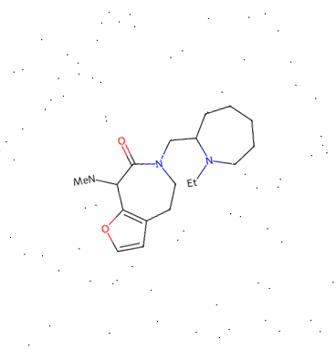 CCN1CCCCCC1CN1CCc2ccoc2C(NC)C1=O